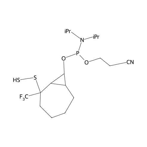 CC(C)N(C(C)C)P(OCCC#N)OC1C2CCCCC(SS)(C(F)(F)F)C21